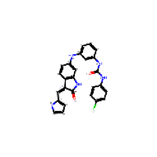 O=C(Nc1ccc(Cl)cc1)Nc1cccc(Nc2ccc3c(c2)NC(=O)/C3=C\c2ccc[nH]2)c1